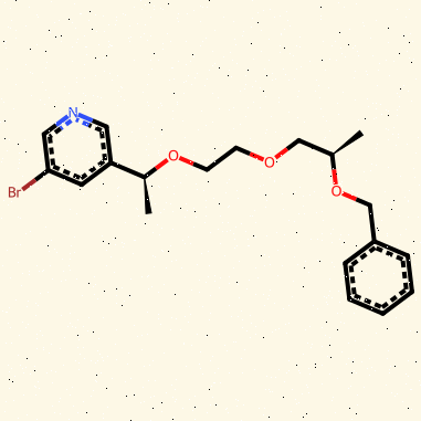 C[C@H](COCCO[C@@H](C)c1cncc(Br)c1)OCc1ccccc1